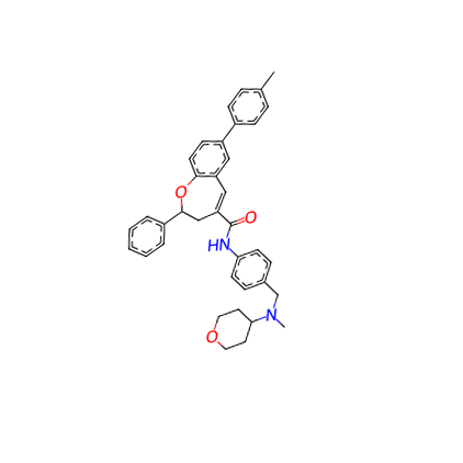 Cc1ccc(-c2ccc3c(c2)C=C(C(=O)Nc2ccc(CN(C)C4CCOCC4)cc2)CC(c2ccccc2)O3)cc1